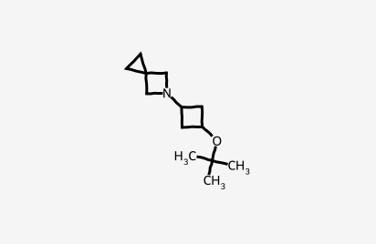 CC(C)(C)OC1CC(N2CC3(CC3)C2)C1